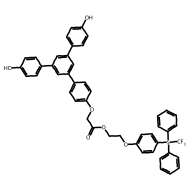 O=C(COc1ccc(-c2cc(-c3ccc(O)cc3)cc(-c3ccc(O)cc3)c2)cc1)OCCOc1ccc(S(c2ccccc2)(c2ccccc2)C(F)(F)F)cc1